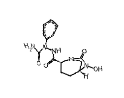 NC(=O)N(NC(=O)[C@@H]1CC[C@@H]2CN1C(=O)N2O)c1ccccc1